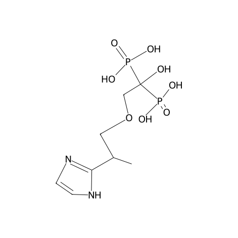 CC(COCC(O)(P(=O)(O)O)P(=O)(O)O)c1ncc[nH]1